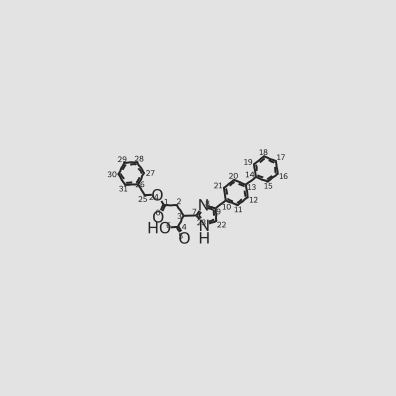 O=C(CC(C(=O)O)c1nc(-c2ccc(-c3ccccc3)cc2)c[nH]1)OCc1ccccc1